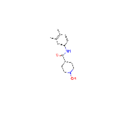 Cc1ccc(NC(=O)C2CCN(O)CC2)cc1C